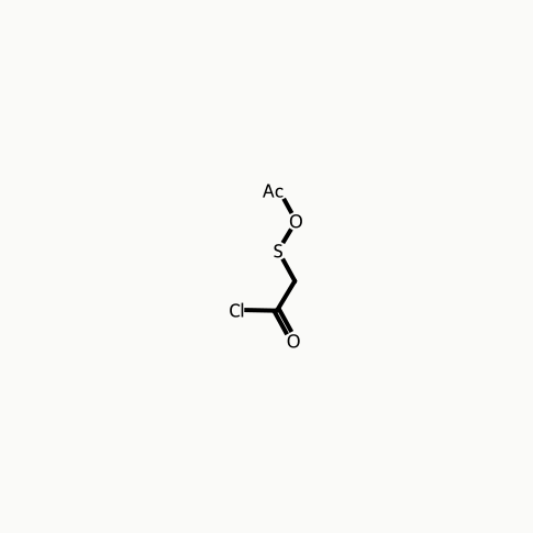 CC(=O)OSCC(=O)Cl